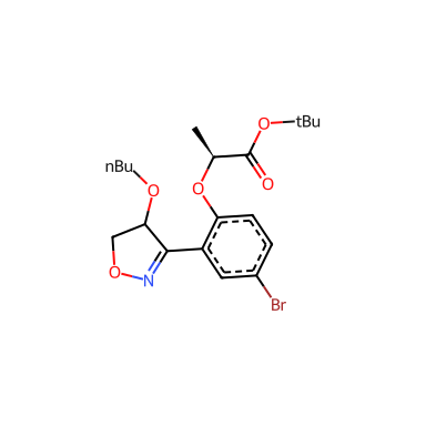 CCCCOC1CON=C1c1cc(Br)ccc1O[C@@H](C)C(=O)OC(C)(C)C